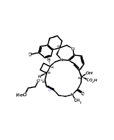 COCCO[C@H]1/C=C/CCN(C)C(=O)C[C@](O)(C(=O)O)c2ccc3c(c2)N(C[C@@H]2CC[C@H]21)C[C@@]1(CCCc2cc(Cl)ccc21)CO3